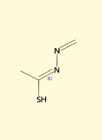 C=N/N=C(\C)S